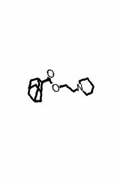 O=C(OCCN1CCCCC1)C1C2CC3CC(C2)CC1C3